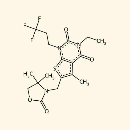 CCn1c(=O)c2c(C)c(CN3C(=O)OCC3(C)C)sc2n(CCC(F)(F)F)c1=O